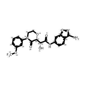 Nc1noc2cc(NC(=O)[C@H](O)[C@H]3OCCN(c4cccc(OC(F)(F)F)c4)C3=O)ccc12